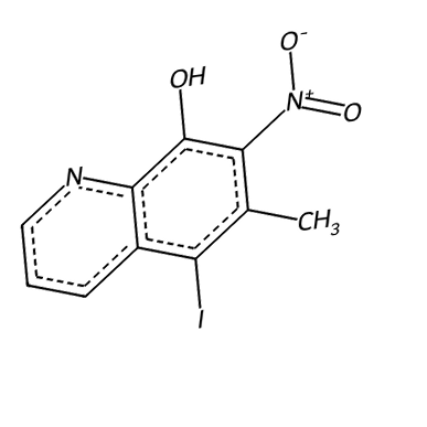 Cc1c([N+](=O)[O-])c(O)c2ncccc2c1I